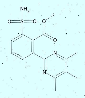 COC(=O)c1c(-c2nc(C)c(C)c(C)n2)cccc1S(N)(=O)=O